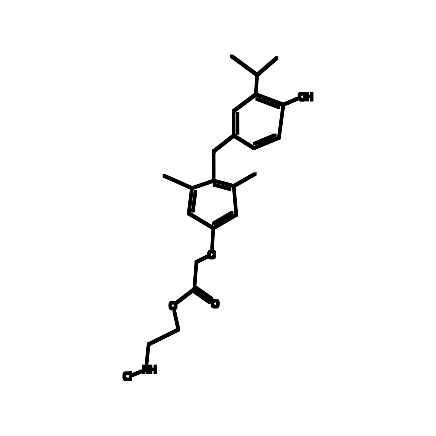 Cc1cc(OCC(=O)OCCNCl)cc(C)c1Cc1ccc(O)c(C(C)C)c1